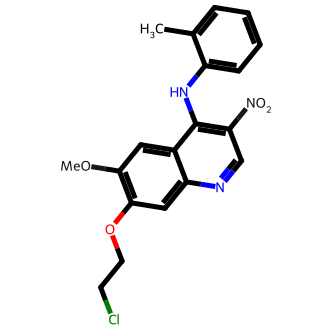 COc1cc2c(Nc3ccccc3C)c([N+](=O)[O-])cnc2cc1OCCCl